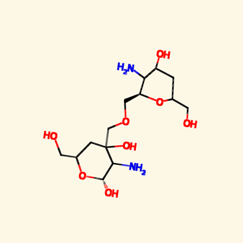 NC1C(O)CC(CO)O[C@H]1COCC1(O)CC(CO)O[C@@H](O)C1N